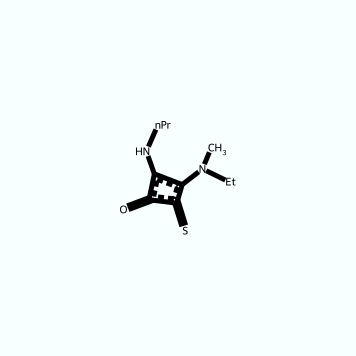 CCCNc1c(N(C)CC)c(=S)c1=O